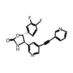 O=C1N[C@H](c2cncc(C#Cc3cccnc3)c2)[C@@H](c2ccc(F)c(F)c2)O1